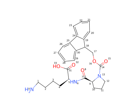 NCCCC[C@H](NC(=O)[C@@H]1CCCN1C(=O)OCC1c2ccccc2-c2ccccc21)C(=O)O